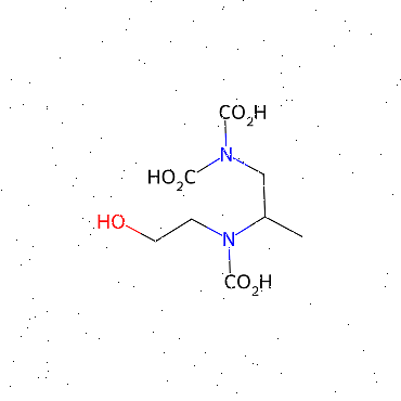 CC(CN(C(=O)O)C(=O)O)N(CCO)C(=O)O